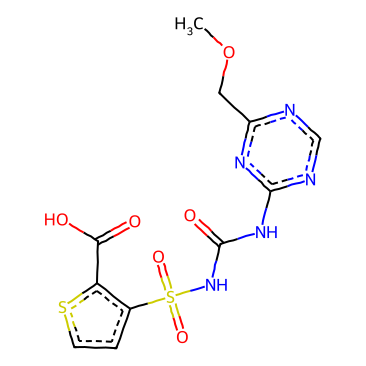 COCc1ncnc(NC(=O)NS(=O)(=O)c2ccsc2C(=O)O)n1